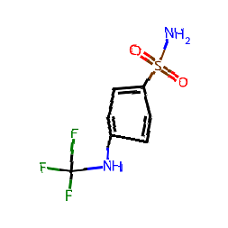 NS(=O)(=O)c1ccc(NC(F)(F)F)cc1